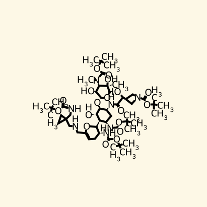 CN(C(=O)OC(C)(C)C)[C@@H]1[C@@H](O)[C@@H](O[C@@H]2[C@@H](O)[C@H](C3OC(CNCC4(CNC(=O)OC(C)(C)C)CC4)=CC[C@H]3NC(=O)OC(C)(C)C)[C@@H](NC(=O)OC(C)(C)C)C[C@H]2NC(=O)C(O)C2CN(C(=O)OC(C)(C)C)C2)OC[C@]1(C)O